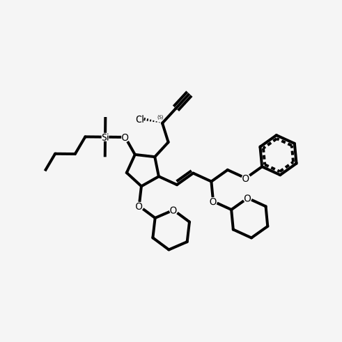 C#C[C@@H](Cl)CC1C(O[Si](C)(C)CCCC)CC(OC2CCCCO2)C1C=CC(COc1ccccc1)OC1CCCCO1